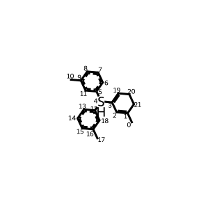 CC1=CC([SH](c2cccc(C)c2)c2cccc(C)c2)=CCC1